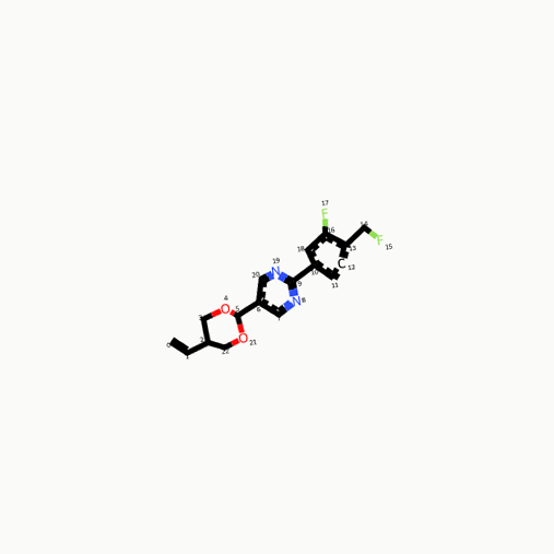 C=CC1COC(c2cnc(-c3ccc(CF)c(F)c3)nc2)OC1